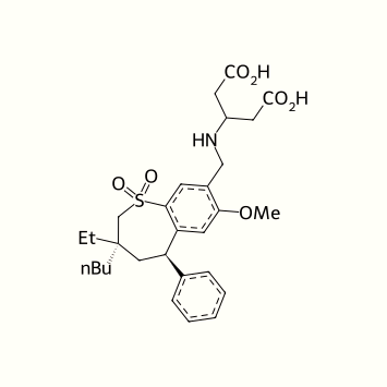 CCCC[C@@]1(CC)C[C@H](c2ccccc2)c2cc(OC)c(CNC(CC(=O)O)CC(=O)O)cc2S(=O)(=O)C1